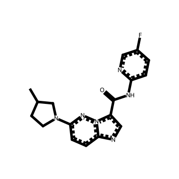 CC1CCN(c2ccc3ncc(C(=O)Nc4ccc(F)cn4)n3n2)C1